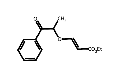 CCOC(=O)C=COC(C)C(=O)c1ccccc1